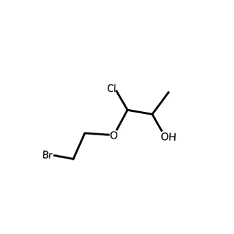 CC(O)C(Cl)OCCBr